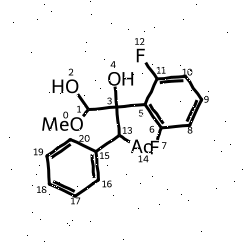 COC(O)C(O)(c1c(F)cccc1F)C(C(C)=O)c1ccccc1